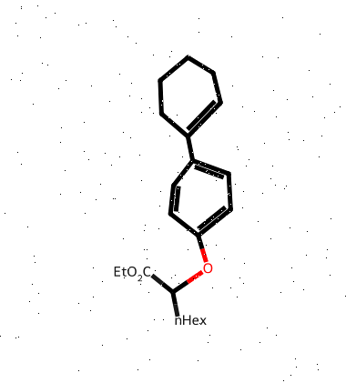 CCCCCCC(Oc1ccc(C2=CCCCC2)cc1)C(=O)OCC